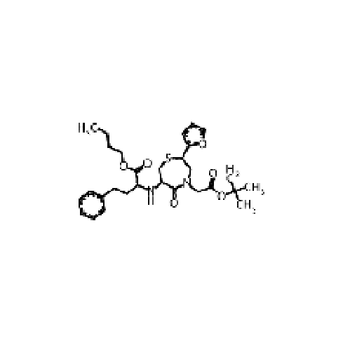 CCCCOC(=O)C(CCc1ccccc1)NC1CSC(c2ccco2)CN(CC(=O)OC(C)(C)C)C1=O